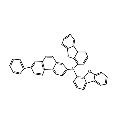 c1ccc(-c2ccc3c(ccc4cc(N(c5cccc6c5oc5ccccc56)c5cccc6c5sc5ccccc56)ccc43)c2)cc1